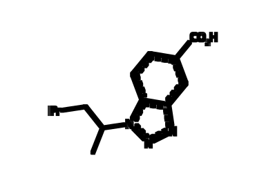 CC(C)CC(C)n1nnc2cc(C(=O)O)ccc21